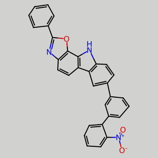 O=[N+]([O-])c1ccccc1-c1cccc(-c2ccc3[nH]c4c(ccc5nc(-c6ccccc6)oc54)c3c2)c1